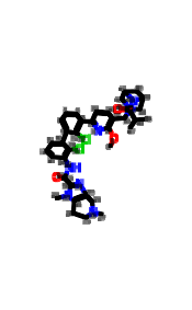 COc1nc(-c2cccc(-c3cccc(NC(=O)c4nc5c(n4C)CCN(C)C5)c3Cl)c2Cl)ccc1CN1CC2CC(C1)N2C(=O)C(C)C